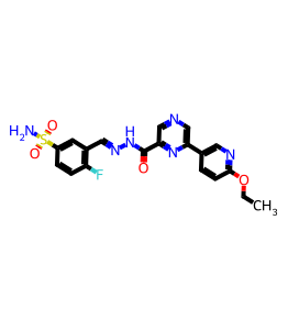 CCOc1ccc(-c2cncc(C(=O)N/N=C/c3cc(S(N)(=O)=O)ccc3F)n2)cn1